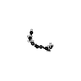 COc1ccc(COc2c(F)cc(C(=O)NCC3CCC(n4cc5ccc(N6CCN(CCc7ccc8c(c7)n(C)c(=O)n8C7CCC(=O)NC7=O)CC6)cc5n4)CC3)c(F)c2F)cc1